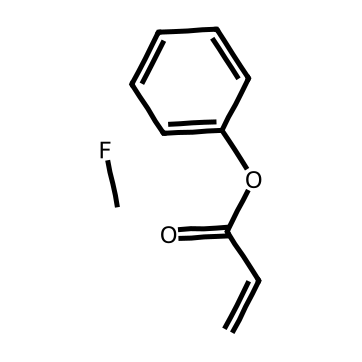 C=CC(=O)Oc1ccccc1.CF